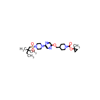 CCC(C)(C)CS(=O)(=O)N1CCN(c2cnc(OCC3CCN(C(=O)OC4(C)CC4)CC3)cn2)CC1